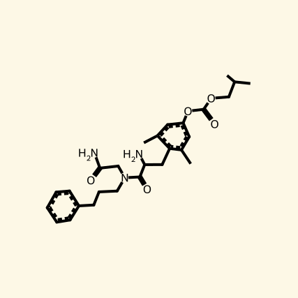 Cc1cc(OC(=O)OCC(C)C)cc(C)c1CC(N)C(=O)N(CCCc1ccccc1)CC(N)=O